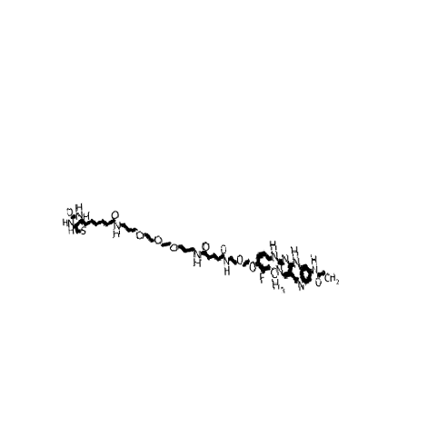 C=CC(=O)Nc1cccc(Nc2nc(NC/C=C\C(OCCOCCNC(=O)CCCC(=O)NCCCOCCOCCOCCCNC(=O)CCCCC3SC[C@@H]4NC(=O)N[C@H]34)=C(\F)CC)ncc2C#N)c1